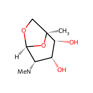 CN[C@@H]1[C@H]2OC[C@](C)(O2)[C@H](O)[C@@H]1O